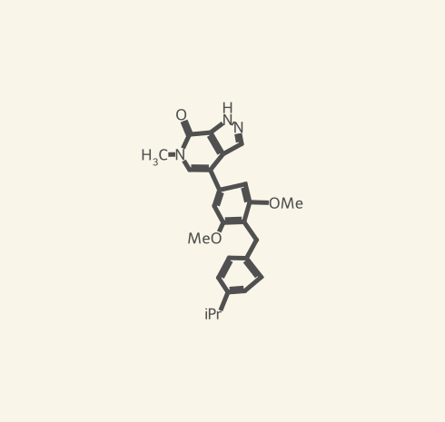 COc1cc(-c2cn(C)c(=O)c3[nH]ncc23)cc(OC)c1Cc1ccc(C(C)C)cc1